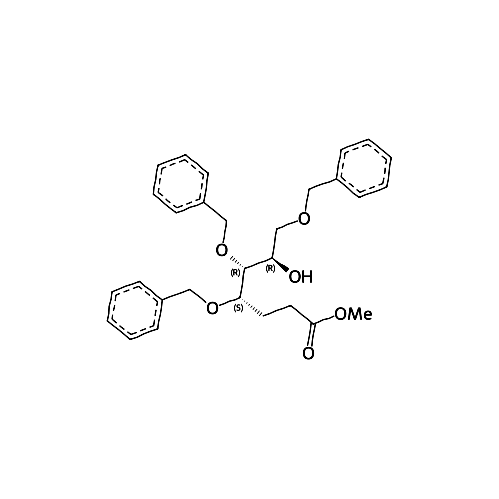 COC(=O)CC[C@H](OCc1ccccc1)[C@H](OCc1ccccc1)[C@H](O)COCc1ccccc1